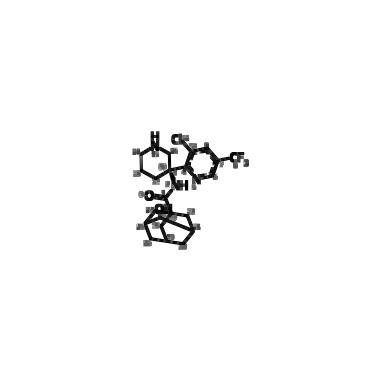 O=C(N[C@@]1(c2ncc(C(F)(F)F)cc2Cl)CCCNC1)C12CC3CC(C1)C(O)C(C3)C2